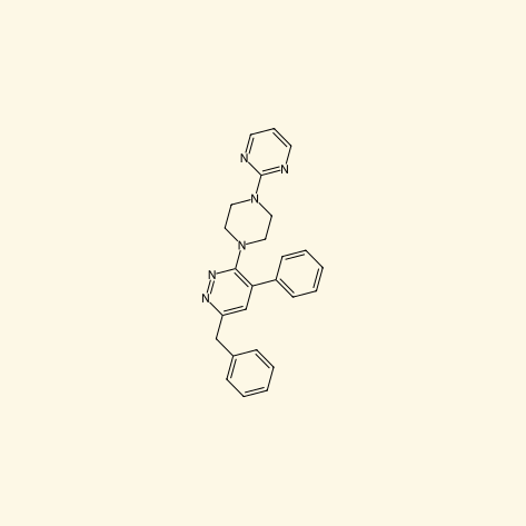 c1ccc(Cc2cc(-c3ccccc3)c(N3CCN(c4ncccn4)CC3)nn2)cc1